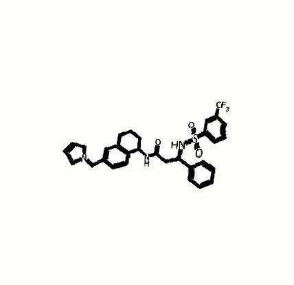 O=C(CC(NS(=O)(=O)c1cccc(C(F)(F)F)c1)c1ccccc1)NC1CCCc2cc(CN3CC=CC3)ccc21